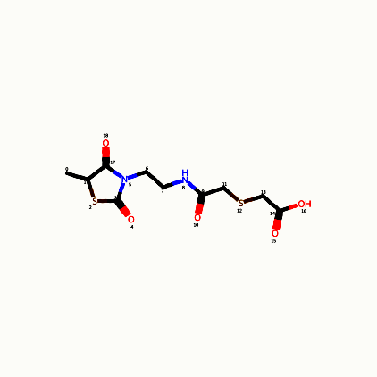 CC1SC(=O)N(CCNC(=O)CSCC(=O)O)C1=O